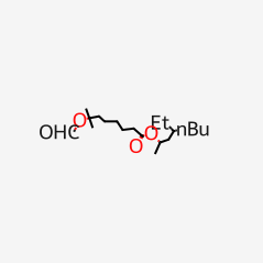 CCCCC(CC)CC(C)OC(=O)CCCCCC(C)(C)OC=O